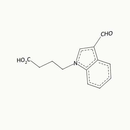 O=Cc1cn(CCCC(=O)O)c2ccccc12